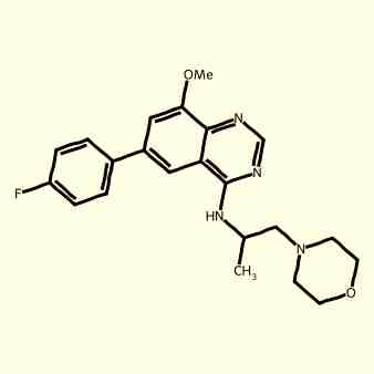 COc1cc(-c2ccc(F)cc2)cc2c(NC(C)CN3CCOCC3)ncnc12